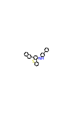 c1ccc(-c2ccc(Nc3ccc(-c4ccc5ccccc5c4)c4sc5ccccc5c34)cc2)cc1